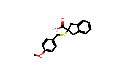 COc1ccc(CSC2(C(=O)O)Cc3ccccc3C2)cc1